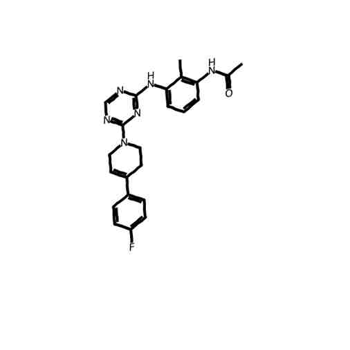 CC(=O)Nc1cccc(Nc2ncnc(N3CC=C(c4ccc(F)cc4)CC3)n2)c1C